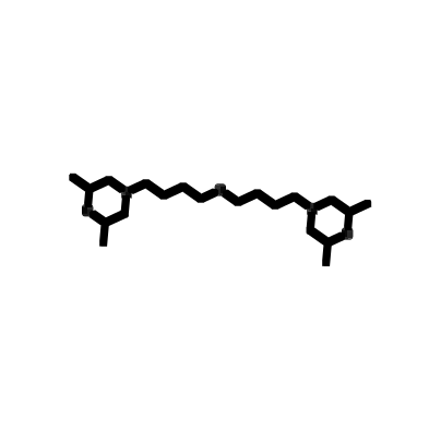 CC1CN(CCCCOCCCCN2CC(C)OC(C)C2)CC(C)O1